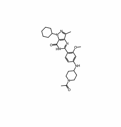 COc1cc(NC2CCN(C(C)=O)CC2)ccc1-c1nc2c(C)nn(C3CCCCC3)c2c(=O)[nH]1